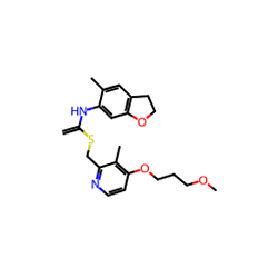 C=C(Nc1cc2c(cc1C)CCO2)SCc1nccc(OCCCOC)c1C